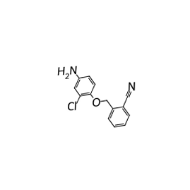 N#Cc1ccccc1COc1ccc(N)cc1Cl